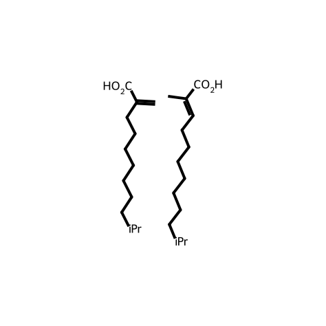 C=C(CCCCCCCC(C)C)C(=O)O.CC(=CCCCCCCCC(C)C)C(=O)O